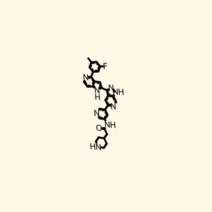 Cc1cc(F)cc(-c2nccc3[nH]c(-c4n[nH]c5cnc(-c6cncc(NC(=O)CC7CCNCC7)c6)cc45)cc23)c1